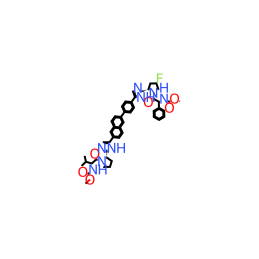 COC(=O)NC(C(=O)N1CCC[C@H]1c1ncc(-c2ccc3cc(-c4ccc(-c5cnc([C@@H]6C[C@H](F)CN6C(=O)[C@H](NC(=O)OC)c6ccccc6)[nH]5)cc4)ccc3c2)[nH]1)C(C)C